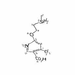 C[SiH2]CCOc1cc(C(F)(F)F)c(C(=O)O)cn1